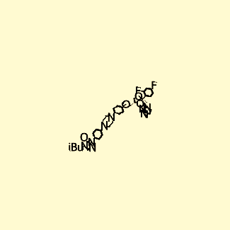 CCC(C)n1cnn(-c2ccc(N3CCN(c4ccc(OC[C@@H]5CO[C@@](Cn6ccnn6)(c6ccc(F)cc6F)O5)cc4)CC3)cc2)c1=O